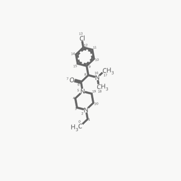 CCN1CCN(C(=O)C(c2ccc(Cl)cc2)N(C)C)CC1